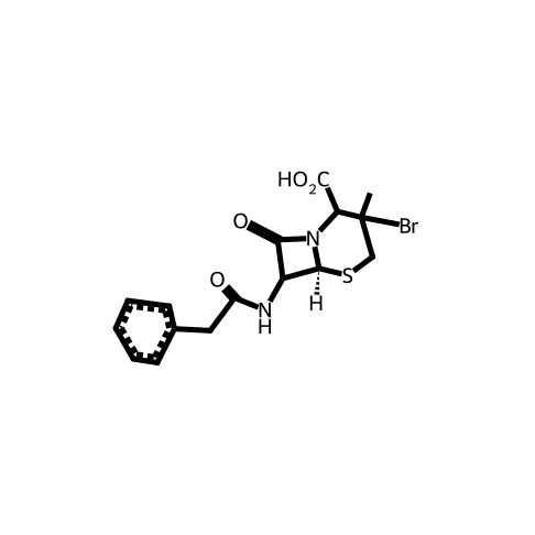 CC1(Br)CS[C@H]2C(NC(=O)Cc3ccccc3)C(=O)N2C1C(=O)O